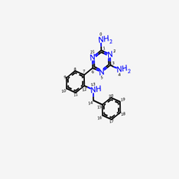 Nc1nc(N)nc(-c2ccccc2NCc2ccccc2)n1